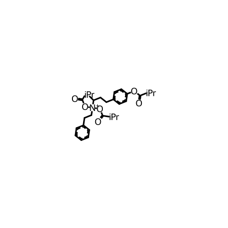 CC(C)C(=O)Oc1ccc(CCC(C)[N+](CCc2ccccc2)(OC(=O)C(C)C)OC(=O)C(C)C)cc1